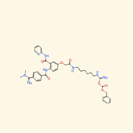 CN(C)C(=N)c1ccc(C(=O)Nc2ccc(OCC(=O)NCCCCCCNC(=N)OC(=O)OCc3ccccc3)cc2C(=O)Nc2ccccn2)cc1